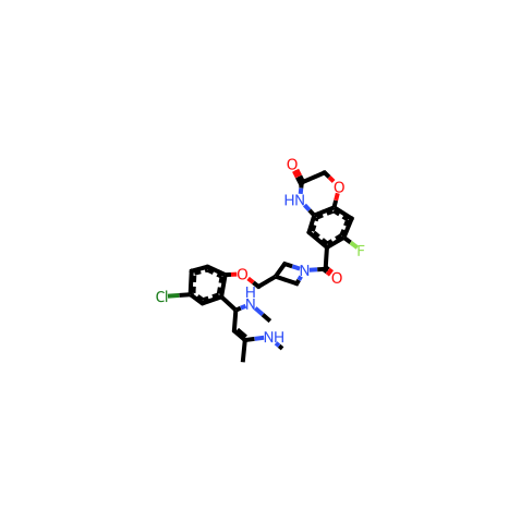 CN/C(C)=C\C(NC)c1cc(Cl)ccc1OCC1CN(C(=O)c2cc3c(cc2F)OCC(=O)N3)C1